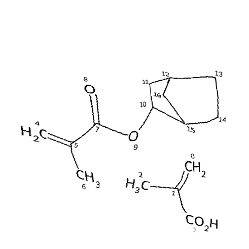 C=C(C)C(=O)O.C=C(C)C(=O)OC1CC2CCC1C2